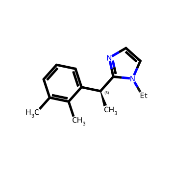 CCn1ccnc1[C@@H](C)c1cccc(C)c1C